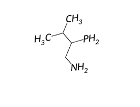 CC(C)C(P)CN